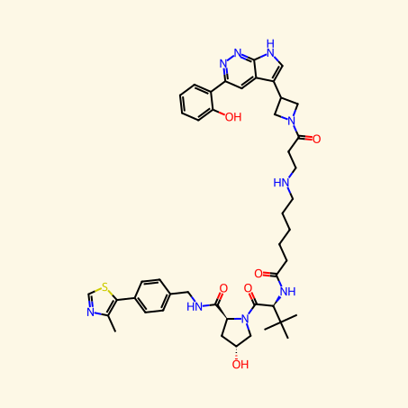 Cc1ncsc1-c1ccc(CNC(=O)[C@@H]2C[C@@H](O)CN2C(=O)[C@@H](NC(=O)CCCCCNCCC(=O)N2CC(c3c[nH]c4nnc(-c5ccccc5O)cc34)C2)C(C)(C)C)cc1